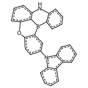 c1ccc2c(c1)Nc1cccc3c1B2c1cc(-n2c4ccccc4c4ccccc42)ccc1O3